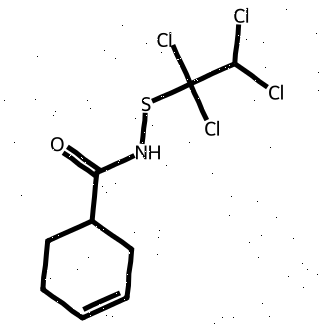 O=C(NSC(Cl)(Cl)C(Cl)Cl)C1CC=CCC1